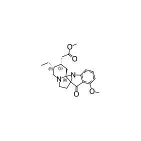 CC[C@H]1CN2CCC34C(=O)c5c(OC)cccc5N3[C@@]24C[C@H]1CC(=O)OC